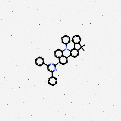 CC1(C)c2ccccc2-c2c1ccc1c2N(c2ccccc2)c2cccc3c(-c4nc(-c5ccccc5)cc(-c5ccccc5)n4)ccc-1c23